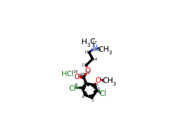 COc1c(Cl)ccc(Cl)c1C(=O)OCCCN(C)C.Cl